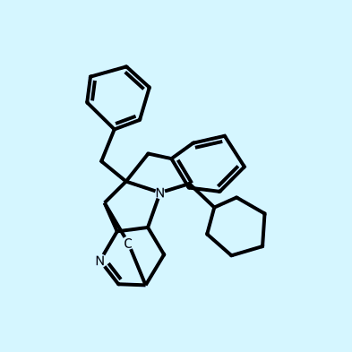 C1=NC2C3CC1CC2C(Cc1ccccc1)(Cc1ccccc1)N3CC1CCCCC1